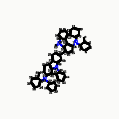 Cc1ccccc1N(c1ccccc1)c1ccc(-c2ccc3c4ccc(N(c5ccccc5)c5ccccc5C)c5c6ccccc6n(c3c2)c45)c2c1c1ccccc1n2C